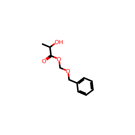 CC(O)C(=O)OCOCc1ccccc1